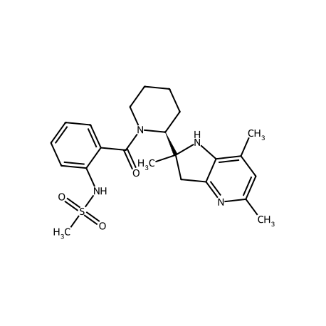 Cc1cc(C)c2c(n1)CC(C)([C@@H]1CCCCN1C(=O)c1ccccc1NS(C)(=O)=O)N2